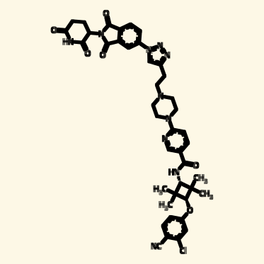 CC1(C)[C@H](NC(=O)c2ccc(N3CCN(CCc4cn(-c5ccc6c(c5)C(=O)N(C5CCC(=O)NC5=O)C6=O)nn4)CC3)nc2)C(C)(C)[C@H]1Oc1ccc(C#N)c(Cl)c1